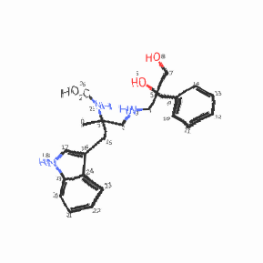 CC(CNCC(O)(CO)c1ccccc1)(Cc1c[nH]c2ccccc12)NC(=O)O